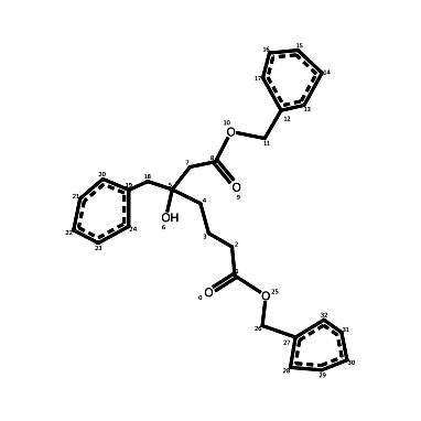 O=C(CCCC(O)(CC(=O)OCc1ccccc1)Cc1ccccc1)OCc1ccccc1